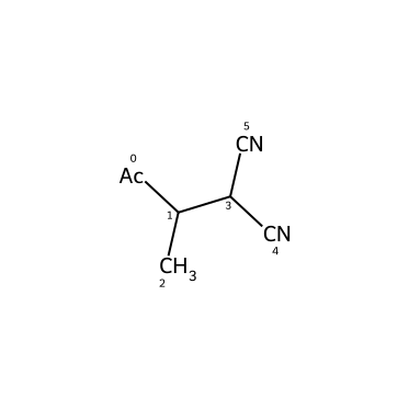 CC(=O)C(C)C(C#N)C#N